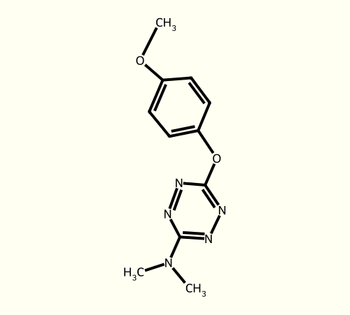 COc1ccc(Oc2nnc(N(C)C)nn2)cc1